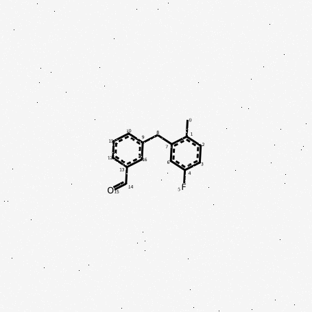 Cc1ccc(F)cc1Cc1cccc(C=O)c1